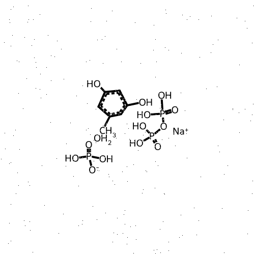 Cc1cc(O)cc(O)c1.O.O=P(O)(O)OP(=O)(O)O.O=P([O-])(O)O.[Na+]